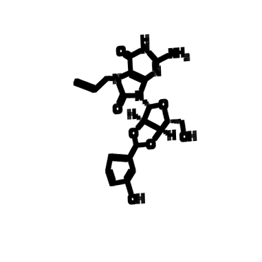 C=CCn1c(=O)n([C@@H]2O[C@H](CO)[C@H]3OC(c4cccc(O)c4)O[C@H]32)c2nc(N)[nH]c(=O)c21